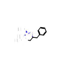 CN(C)NC(CC(=O)O)Cc1ccccc1